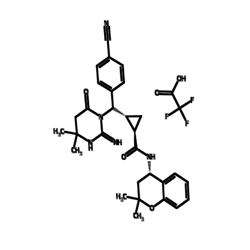 CC1(C)CC(=O)N(C(c2ccc(C#N)cc2)[C@@H]2C[C@H]2C(=O)N[C@H]2CC(C)(C)Oc3ccccc32)C(=N)N1.O=C(O)C(F)(F)F